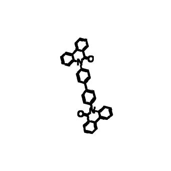 O=c1c2ccccc2c2ccccc2n1-c1ccc(-c2ccc(-n3c(=O)c4ccccc4c4ccccc43)cc2)cc1